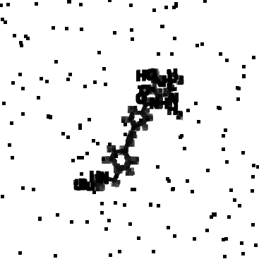 CC(N)C(NC(=O)c1ccc(C#Cc2ccc(CNCC(C)(C)C)cc2)cc1)C(=O)NO